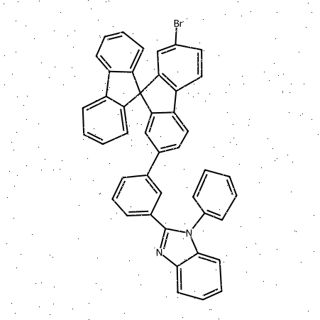 Brc1ccc2c(c1)C1(c3ccccc3-c3ccccc31)c1cc(-c3cccc(-c4nc5ccccc5n4-c4ccccc4)c3)ccc1-2